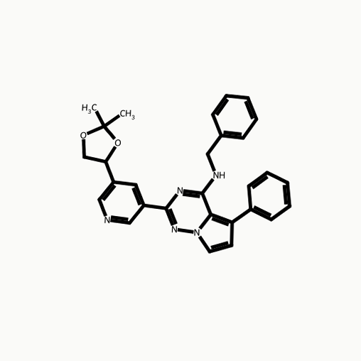 CC1(C)OCC(c2cncc(-c3nc(NCc4ccccc4)c4c(-c5ccccc5)ccn4n3)c2)O1